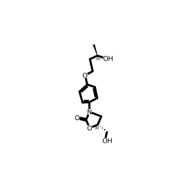 C[C@@H](O)CCOc1ccc(N2C[C@H](CO)OC2=O)cc1